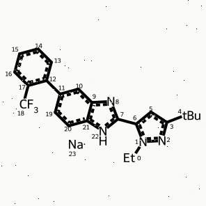 CCn1nc(C(C)(C)C)cc1-c1nc2cc(-c3ccccc3C(F)(F)F)ccc2[nH]1.[Na]